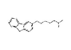 CC(C)CCCCCc1ccc2c(c1)-c1ccccc1C2